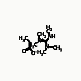 CCC(=O)[O-].CNC(N(C)C)=[N+](C)C